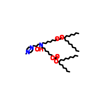 CCCCCCCCC(CCCCCC)OCOCCCCCCN(CCCCCCOC(=O)OC(CCCCCC)CCCCCCCC)CC(O)CN1CCN(C)CC1